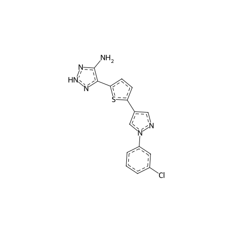 Nc1n[nH]nc1-c1ccc(-c2cnn(-c3cccc(Cl)c3)c2)s1